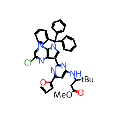 COC(=O)CC(Nc1cc(-c2ccco2)nc(-c2cn(C(c3ccccc3)(c3ccccc3)c3ccccc3)c3ncc(Cl)nc23)n1)C(C)(C)C